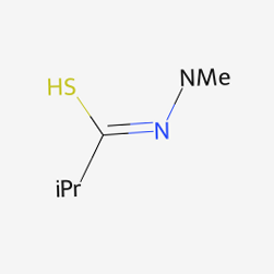 CN/N=C(\S)C(C)C